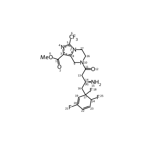 COC(=O)c1nc(C(F)(F)F)n2c1CN(C(=O)C[C@@H](N)CC1(F)C=C(F)C=CC1F)CC2